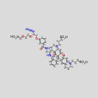 [N-]=[N+]=NC(COc1cccc(C(=O)NCCNC(=O)c2ccccc2C2=C3C=C4CCCN(CCCS(=O)(=O)O)C4C=C3Oc3cc4c(cc32)CCCN4CCCS(=O)(=O)O)c1)OCCOCC(=O)O